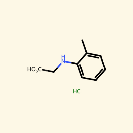 Cc1ccccc1NCC(=O)O.Cl